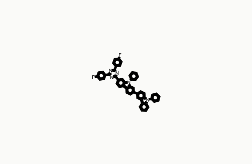 Fc1ccc(-c2nc(-c3ccc(F)cc3)nc(-c3ccc4c5ccc(-c6ccc7c(c6)c6ccccc6n7-c6ccccc6)cc5n(-c5ccccc5)c4c3)n2)cc1